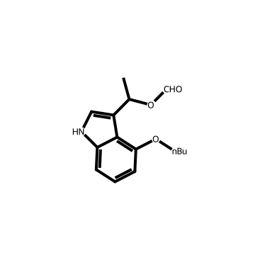 CCCCOc1cccc2[nH]cc(C(C)OC=O)c12